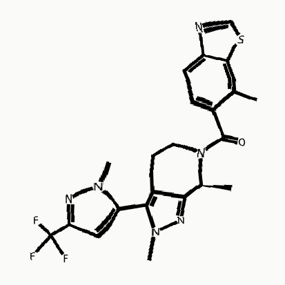 Cc1c(C(=O)N2CCc3c(nn(C)c3-c3cc(C(F)(F)F)nn3C)[C@@H]2C)ccc2ncsc12